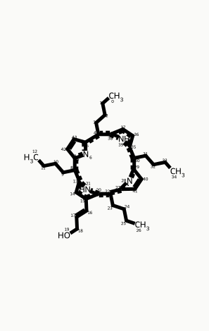 CCCCc1c2nc(c(CCCC)c3cc(/C=C/CO)c([nH]3)c(CCCC)c3nc(c(CCCC)c4ccc1[nH]4)C=C3)C=C2